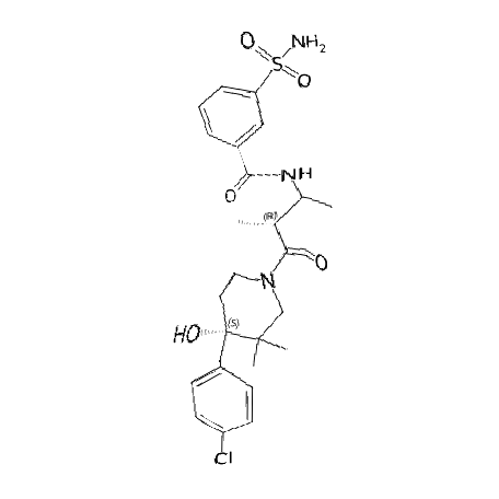 CC(NC(=O)c1cccc(S(N)(=O)=O)c1)[C@@H](C)C(=O)N1CC[C@](O)(c2ccc(Cl)cc2)C(C)(C)C1